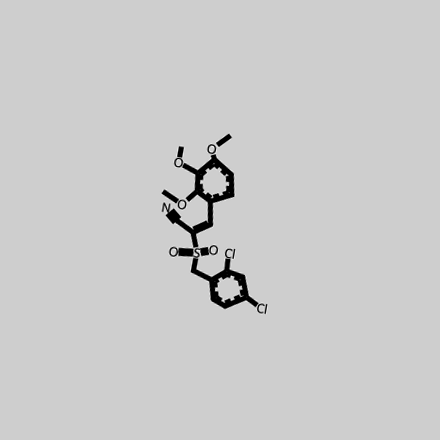 COc1ccc(/C=C(\C#N)S(=O)(=O)Cc2ccc(Cl)cc2Cl)c(OC)c1OC